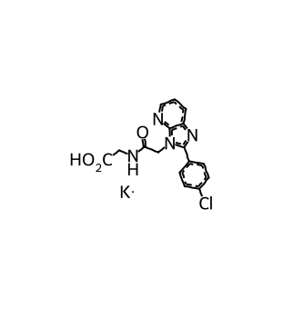 O=C(O)CNC(=O)Cn1c(-c2ccc(Cl)cc2)nc2cccnc21.[K]